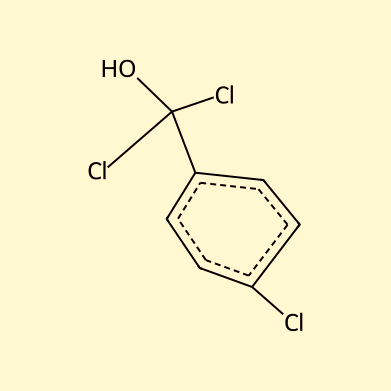 OC(Cl)(Cl)c1ccc(Cl)cc1